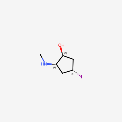 CN[C@@H]1C[C@@H](I)C[C@@H]1O